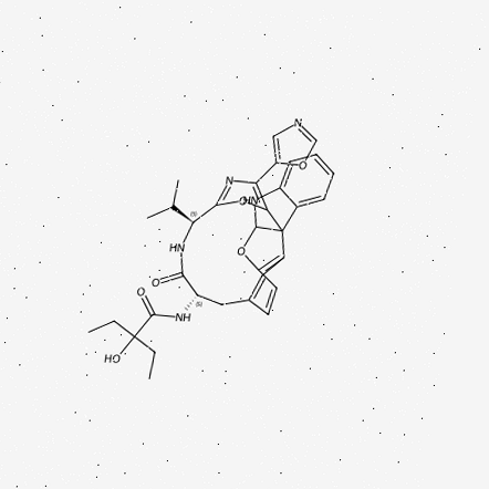 CCC(O)(CC)C(=O)N[C@H]1Cc2ccc3c(c2)C2(c4ccccc4NC2O3)c2oc(nc2-c2cnco2)[C@H](C(C)C)NC1=O